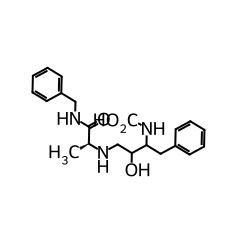 C[C@H](NCC(O)C(Cc1ccccc1)NC(=O)O)C(=O)NCc1ccccc1